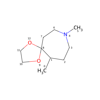 CC1CCN(C)CCC12OCCO2